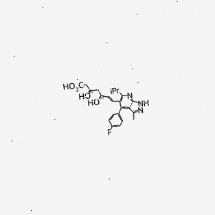 Cc1n[nH]c2nc(C(C)C)c(C=C[C@@H](O)C[C@@H](O)CC(=O)O)c(-c3ccc(F)cc3)c12